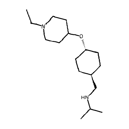 CCN1CCC(O[C@H]2CC[C@H](CNC(C)C)CC2)CC1